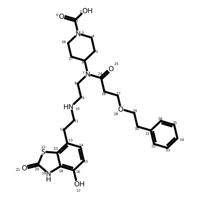 O=C(O)N1CCC(N(CCNCCc2ccc(O)c3[nH]c(=O)sc23)C(=O)CCOCCc2ccccc2)CC1